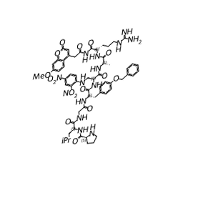 COc1ccc2c(CC(=O)NC(=O)[C@H](CCCNC(=N)N)NC(=O)[C@H](C)NC(=O)[C@H](CNc3ccc([N+](=O)[O-])cc3[N+](=O)[O-])NC(=O)[C@H](Cc3ccc(OCc4ccccc4)cc3)NC(=O)CNC(=O)[C@H](CC(C)C)NC(=O)[C@@H]3CCCN3)cc(=O)oc2c1